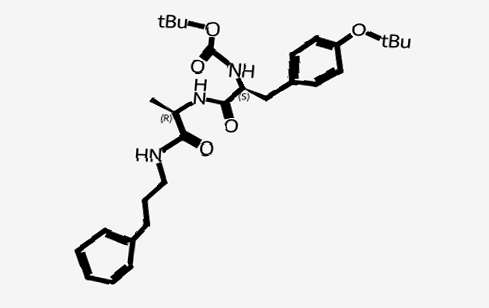 C[C@@H](NC(=O)[C@H](Cc1ccc(OC(C)(C)C)cc1)NC(=O)OC(C)(C)C)C(=O)NCCCc1ccccc1